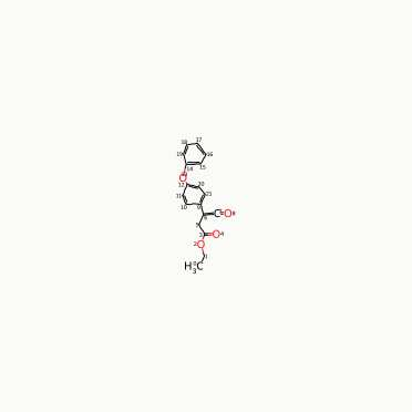 CCOC(=O)CC(=C=O)c1ccc(Oc2ccccc2)cc1